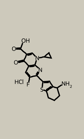 Cl.NC1CCCc2sc(-c3nc4c(cc3F)c(=O)c(C(=O)O)cn4C3CC3)cc21